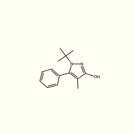 Cc1c(O)nn(C(C)(C)C)c1-c1ccccc1